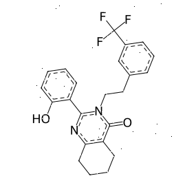 O=c1c2c(nc(-c3ccccc3O)n1CCc1cccc(C(F)(F)F)c1)CCCC2